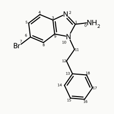 Nc1nc2ccc(Br)cc2n1CCc1ccccc1